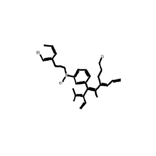 C=C/C=C(CCCCl)/C(C)=C(/C(C=C)=C(C)C)c1cccc(N(CC)CCC(/C=C\C)=C/CC)c1